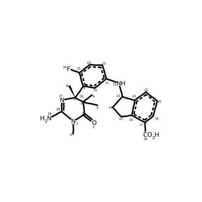 CN1C(=O)C(C)(C)[C@@](C)(c2cc(NC3CCc4c(C(=O)O)cccc43)ccc2F)N=C1N